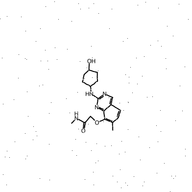 CNC(=O)COc1c(C)ccc2cnc(NC3CCC(O)CC3)nc12